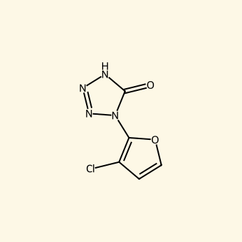 O=c1[nH]nnn1-c1occc1Cl